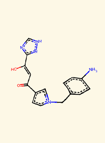 Nc1ccc(Cn2ccc(C(=O)C=C(O)c3nc[nH]n3)c2)cc1